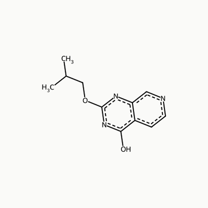 CC(C)COc1nc(O)c2ccncc2n1